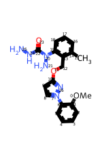 COc1ccccc1-n1ccc(OCc2c(C)cccc2N(N)C(=O)NN)n1